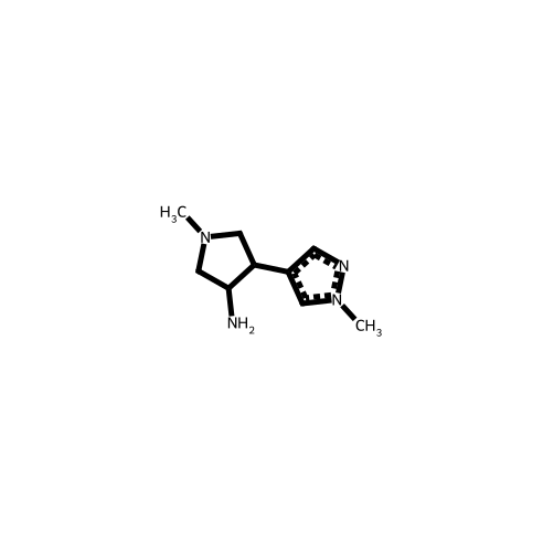 CN1CC(N)C(c2cnn(C)c2)C1